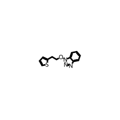 c1csc(CCOn2nnc3ccccc32)c1